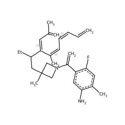 C=C\C=C/C=C(C)\C(=C/C(=C)C)C(CC)CC1(C)CN(C(=C)c2cc(N)c(C)cc2F)C1